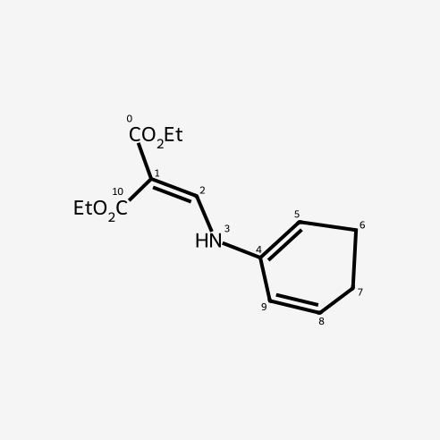 CCOC(=O)C(=CNC1=CCCC=C1)C(=O)OCC